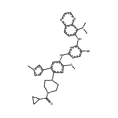 COc1cc(N2CCN(C(=O)C3CC3)CC2)c(-c2cnn(C)c2)cc1Nc1ncc(Br)c(Nc2ccc3nccnc3c2P(C)C)n1